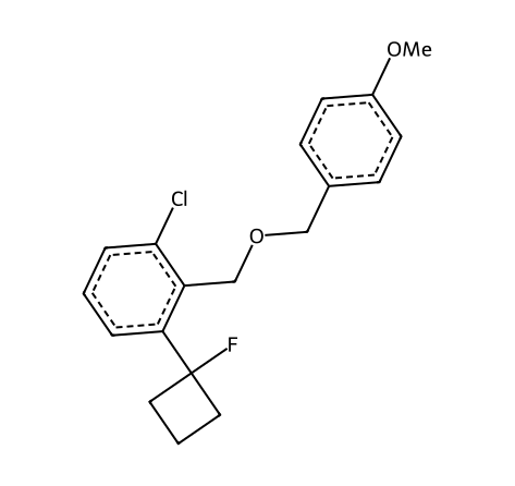 COc1ccc(COCc2c(Cl)cccc2C2(F)CCC2)cc1